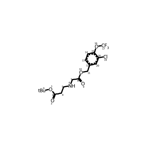 CC(C)(C)OC(=O)CCNCC(=O)OCc1ccc(OC(F)(F)F)c(Cl)c1